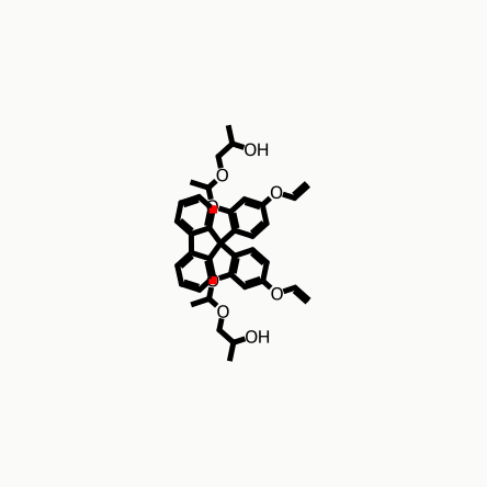 C=COc1ccc(C2(c3ccc(OC=C)cc3OC(C)OCC(C)O)c3ccccc3-c3ccccc32)c(OC(C)OCC(C)O)c1